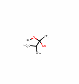 CCCCOC(O)(C(CCCC)C(=O)O)C(F)(F)F